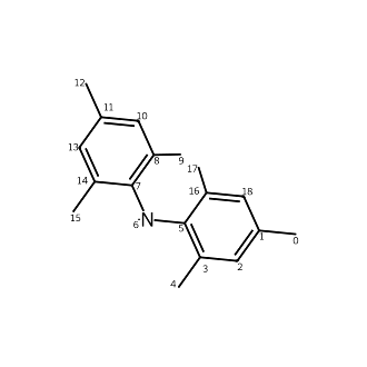 Cc1cc(C)c([N]c2c(C)cc(C)cc2C)c(C)c1